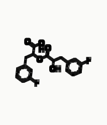 O=C(OC(Cc1cccc(F)c1)C(=O)O)C(O)Cc1cccc(F)c1